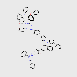 c1ccc(-c2cccc(N(c3ccc(-c4ccc(-c5nc(-c6ccccc6)nc(-c6cccc7oc8c9ccccc9c(N(c9ccccc9)c9cccc%10c9oc9ccccc9%10)cc8c67)n5)cc4)cc3)c3cc4c5ccc(-c6nc(-c7ccccc7)nc(-c7ccccc7)n6)cc5oc4c4ccccc34)c2)cc1